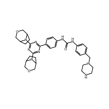 O=C(Nc1ccc(CN2CCNCC2)cc1)Nc1ccc(-c2nc(N3C4CCC3COC4)nc(N3C4CCC3COC4)n2)cc1